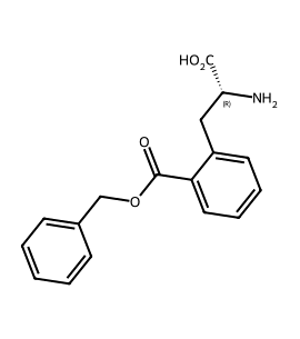 N[C@H](Cc1ccccc1C(=O)OCc1ccccc1)C(=O)O